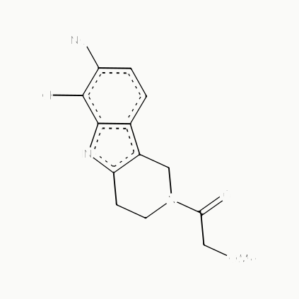 COCC(=O)N1CCc2[nH]c3c(Cl)c(C#N)ccc3c2C1